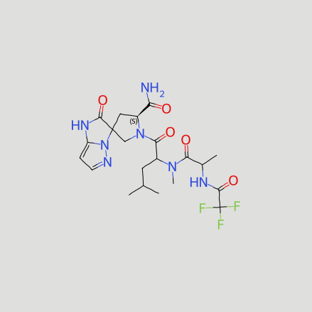 CC(C)CC(C(=O)N1CC2(C[C@H]1C(N)=O)C(=O)Nc1ccnn12)N(C)C(=O)C(C)NC(=O)C(F)(F)F